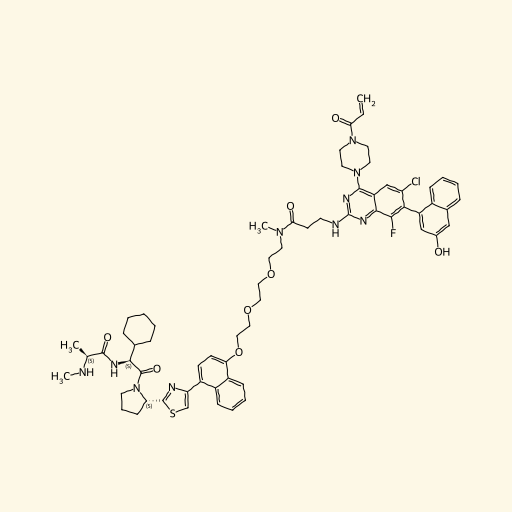 C=CC(=O)N1CCN(c2nc(NCCC(=O)N(C)CCOCCOCCOc3ccc(-c4csc([C@@H]5CCCN5C(=O)[C@@H](NC(=O)[C@H](C)NC)C5CCCCC5)n4)c4ccccc34)nc3c(F)c(-c4cc(O)cc5ccccc45)c(Cl)cc23)CC1